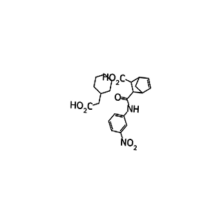 O=C(O)C1C2C=CC(C2)C1C(=O)Nc1cccc([N+](=O)[O-])c1.O=C(O)CC1CCCCC1